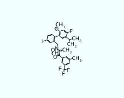 COc1cc(F)c(C(C)C)cc1-c1ccc(I)cc1CN[C@@H](C)[C@H](OC=O)c1cc(C)cc(C(F)(F)F)c1